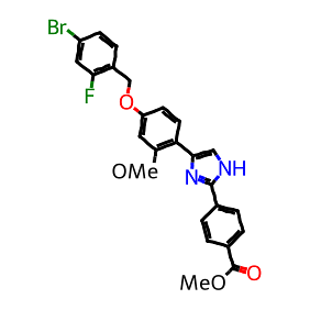 COC(=O)c1ccc(-c2nc(-c3ccc(OCc4ccc(Br)cc4F)cc3OC)c[nH]2)cc1